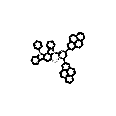 CN1C(n2c3ccccc3c3c2ccc2c4ccccc4n(-c4ccccc4)c23)=NC(c2cc3ccc4cccc5ccc(c2)c3c45)=CC1c1cc2ccc3cccc4ccc(c1)c2c34